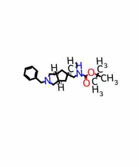 CC(C)(C)OC(=O)NC[C@@]1(C)C[C@H]2CN(Cc3ccccc3)C[C@H]2C1